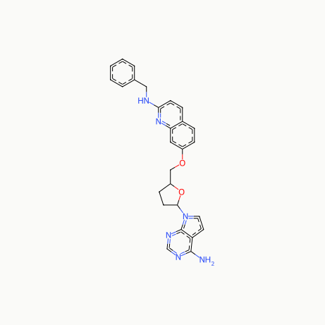 Nc1ncnc2c1ccn2C1CCC(COc2ccc3ccc(NCc4ccccc4)nc3c2)O1